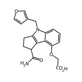 NC(=O)C1CCc2c1c1c(OCC(=O)O)cccc1n2Cc1ccoc1